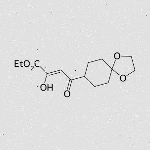 CCOC(=O)C(O)=CC(=O)C1CCC2(CC1)OCCO2